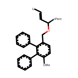 [Li]/[CH]=C/C(CCCCC)OCc1ccc(OC)c(-c2ccccc2)c1-c1ccccc1